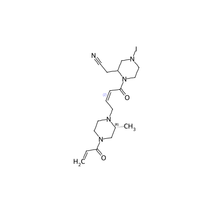 C=CC(=O)N1CCN(C/C=C\C(=O)N2CCN(I)CC2CC#N)[C@H](C)C1